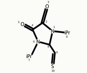 CC(C)N1C(=O)C(=O)N(C(C)C)C1C=S